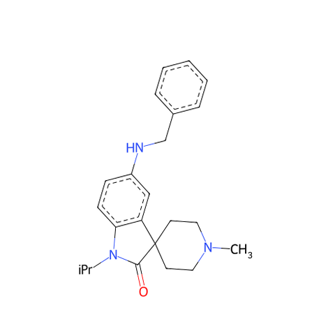 CC(C)N1C(=O)C2(CCN(C)CC2)c2cc(NCc3ccccc3)ccc21